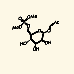 COP(=O)(OC)OCC1O[C@H](OCC(C)=O)C(O)[C@@H](O)[C@@H]1O